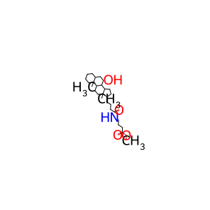 COC(=O)CCCNC(=O)CCCC1CCC2C3C(O)CC4CCCCC4(C)C3CCC12C